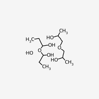 CC(O)COCC(C)O.CCC(O)OC(O)CC.[OH]